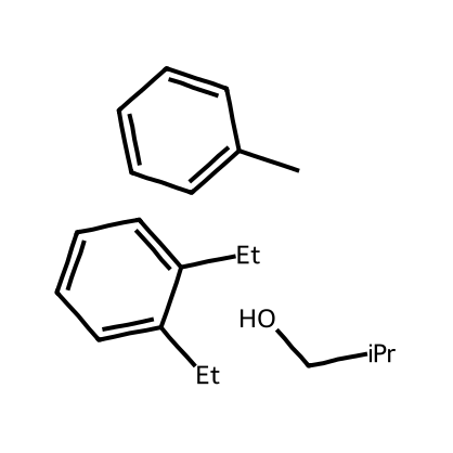 CC(C)CO.CCc1ccccc1CC.Cc1ccccc1